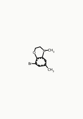 Cc1cc(Br)c2c(c1)N(C)CCO2